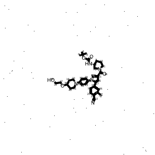 CC(C)(C)OC(=O)N[C@@H]1CCCN(C(=O)c2cc(-c3ccc(C#N)c(F)c3)n(-c3ccc(N4CCC(OCCO)CC4)cc3)n2)C1